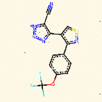 N#Cc1[nH]nnc1-c1csnc1-c1ccc(OC(F)(F)F)cc1